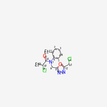 CCc1ccccc1N(Cc1nnc(CCl)o1)C(=O)C(Cl)CC